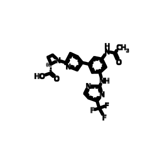 CC(=O)Nc1cc(Nc2nccc(C(F)(F)F)n2)cc(-c2ccc(N3CC[C@H]3C(=O)O)nc2)c1